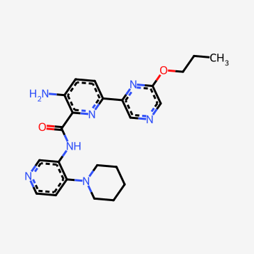 CCCOc1cncc(-c2ccc(N)c(C(=O)Nc3cnccc3N3CCCCC3)n2)n1